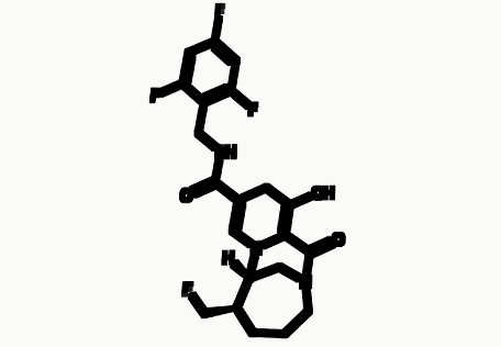 O=C(NCc1c(F)cc(F)cc1F)C1=CN2C(=C(O)C1)C(=O)N1CCC[C@@H](CF)[C@H]2C1